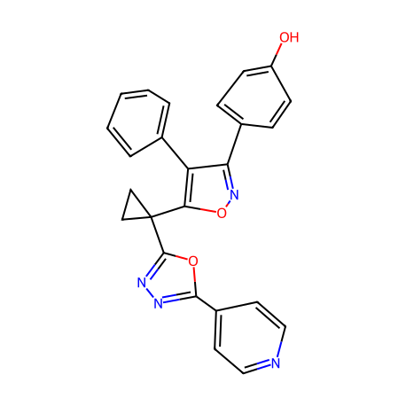 Oc1ccc(-c2noc(C3(c4nnc(-c5ccncc5)o4)CC3)c2-c2ccccc2)cc1